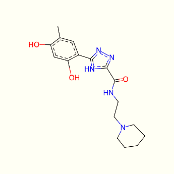 Cc1cc(-c2nnc(C(=O)NCCN3CCCCC3)[nH]2)c(O)cc1O